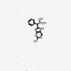 OB(O)C(c1ccccc1)c1nc2nc(S)ncc2[nH]1